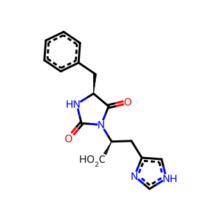 O=C(O)[C@H](Cc1c[nH]cn1)N1C(=O)N[C@@H](Cc2ccccc2)C1=O